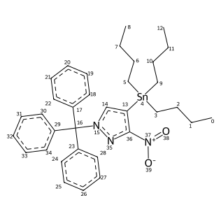 CCC[CH2][Sn]([CH2]CCC)([CH2]CCC)[c]1cn(C(c2ccccc2)(c2ccccc2)c2ccccc2)nc1[N+](=O)[O-]